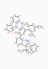 Cc1cc(C)c(-c2cc(-c3cccc4c5c([nH]c34)-c3ccccc3C5(C)C)c3c(c2)-n2c4ccccc4c4cccc(c42)B3)c(C)c1